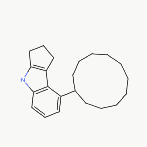 c1cc2c(c(C3CCCCCCCCCC3)c1)C1=C(CCC1)[N]2